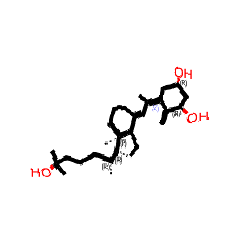 C=C1/C(=C(/C)C=C2CCC[C@@]3(C)C2CC[C@@H]3[C@H](C)CCCC(C)(C)O)C[C@@H](O)C[C@H]1O